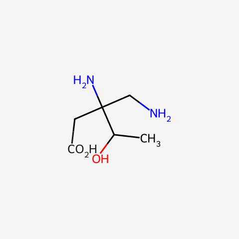 CC(O)C(N)(CN)CC(=O)O